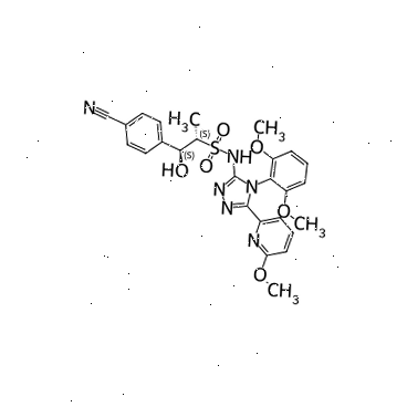 COc1cccc(-c2nnc(NS(=O)(=O)[C@@H](C)[C@@H](O)c3ccc(C#N)cc3)n2-c2c(OC)cccc2OC)n1